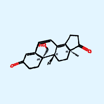 C[C@]12CC[C@H]3C(=C1CCC2=O)C=CC1=CC(=O)CC[C@@]13CO